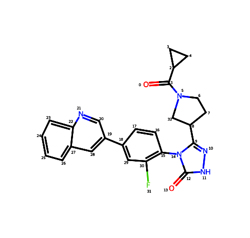 O=C(C1CC1)N1CCC(c2n[nH]c(=O)n2-c2ccc(-c3cnc4ccccc4c3)cc2F)C1